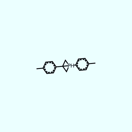 Cc1ccc(C23C[PH]2(c2ccc(C)cc2)C3)cc1